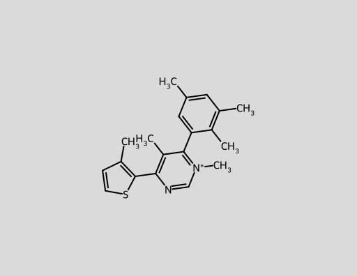 Cc1cc(C)c(C)c(-c2c(C)c(-c3sccc3C)nc[n+]2C)c1